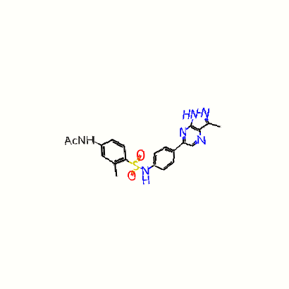 CC(=O)Nc1ccc(S(=O)(=O)Nc2ccc(-c3cnc4c(C)n[nH]c4n3)cc2)c(C)c1